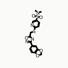 CN(C)S(=O)(=O)c1ccc(SCc2nc(-c3ccc4c(c3)OCO4)no2)nc1